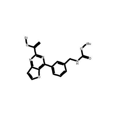 C=C(OCC)c1nc(-c2cccc(CNC(=O)OC(C)(C)C)c2)c2occc2n1